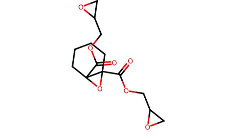 O=C(OCC1CO1)C12CCCCC1(C(=O)OCC1CO1)O2